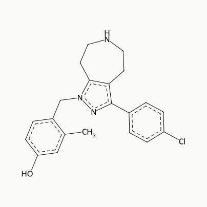 Cc1cc(O)ccc1Cn1nc(-c2ccc(Cl)cc2)c2c1CCNCC2